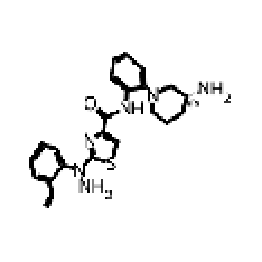 C=Cc1ccccc1N(N)c1nc(C(=O)Nc2ccccc2N2CCC[C@@H](N)C2)cs1